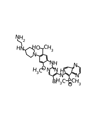 COc1cc(N2CCC(NCCN)CC2)c(C(C)O)cc1Nc1ncc(Br)c(Nc2ccc3nccnc3c2P(C)(C)=O)n1